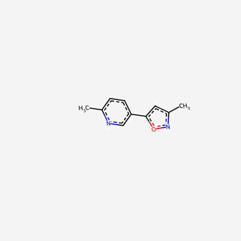 Cc1ccc(-c2cc(C)no2)cn1